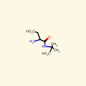 CC(C)(NC(=O)C(N)CC(=O)O)C(=O)O